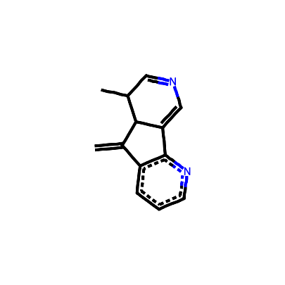 C=C1c2cccnc2C2=CN=CC(C)C12